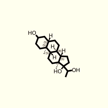 CC(O)[C@@]1(O)CC[C@H]2[C@@H]3CC[C@H]4CC(O)CC[C@]4(C)[C@H]3CC[C@@]21C